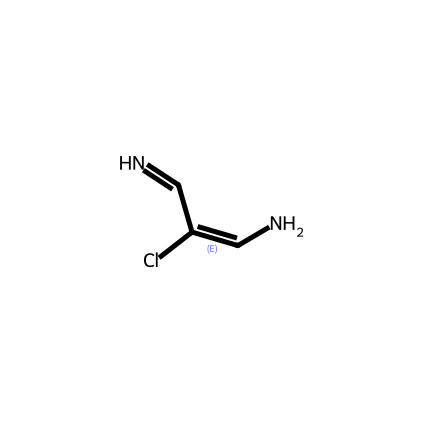 N=C/C(Cl)=C\N